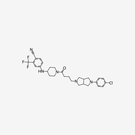 N#Cc1ccc(NC2CCN(C(=O)CCCN3CC4CN(c5ccc(Cl)cc5)CC4C3)CC2)cc1C(F)(F)F